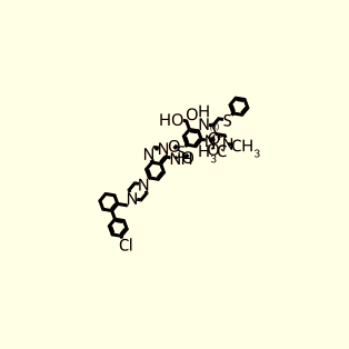 CN(C)CC[C@H](CSc1ccccc1)Nc1c(C(=O)O)cc(S(=O)(=O)Nc2ncnc3cc(N4CCN(CC5=C(c6ccc(Cl)cc6)CCCC5)CC4)ccc23)cc1[N+](=O)[O-]